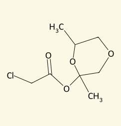 CC1COCC(C)(OC(=O)CCl)O1